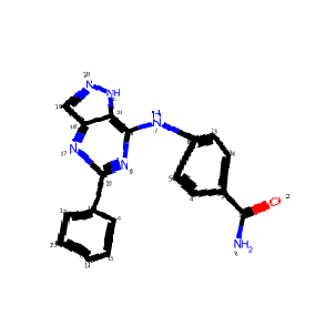 NC(=O)c1ccc(Nc2nc(-c3ccccc3)nc3cn[nH]c23)cc1